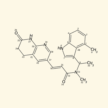 Cc1cccc2[nH]cc(C(C)N(C)C(=O)/C=C/c3cnc4c(c3)CCC(=O)N4)c12